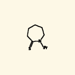 CC(C)N1CCCCCC1=S